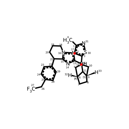 Cc1cc(N2C[C@H]3CC[C@@H](C2)C3Nc2nc3n(n2)CCCC3c2ccc(CC(F)(F)F)cc2)sn1